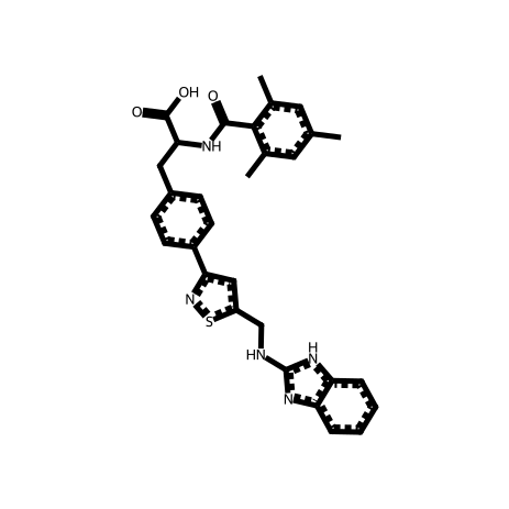 Cc1cc(C)c(C(=O)NC(Cc2ccc(-c3cc(CNc4nc5ccccc5[nH]4)sn3)cc2)C(=O)O)c(C)c1